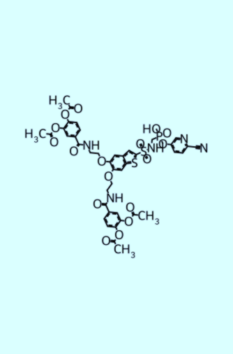 CC(=O)Oc1ccc(C(=O)NCCOc2cc3cc(S(=O)(=O)NCP(=O)(O)Oc4ccc(C#N)nc4)sc3cc2OCCNC(=O)c2ccc(OC(C)=O)c(OC(C)=O)c2)cc1OC(C)=O